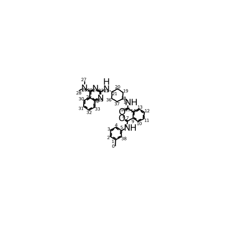 Cc1cccc(NC(=O)c2ccccc2C(=O)N[C@H]2CC[C@@H](Nc3nc(N(C)C)c4ccccc4n3)CC2)c1